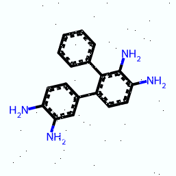 Nc1ccc(-c2ccc(N)c(N)c2-c2ccccc2)cc1N